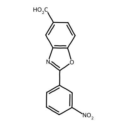 O=C(O)c1ccc2oc(-c3cccc([N+](=O)[O-])c3)nc2c1